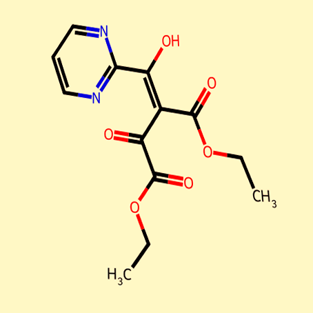 CCOC(=O)C(=O)/C(C(=O)OCC)=C(/O)c1ncccn1